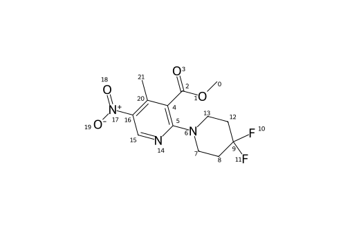 COC(=O)c1c(N2CCC(F)(F)CC2)ncc([N+](=O)[O-])c1C